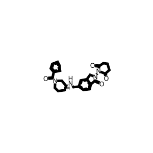 O=C(c1ccccc1)N1CCC[C@@H](NCc2ccc3c(c2)CN(N2C(=O)CCCC2=O)C3=O)C1